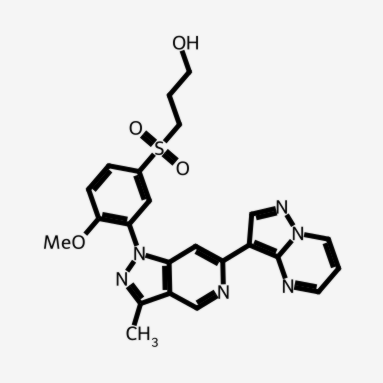 COc1ccc(S(=O)(=O)CCCO)cc1-n1nc(C)c2cnc(-c3cnn4cccnc34)cc21